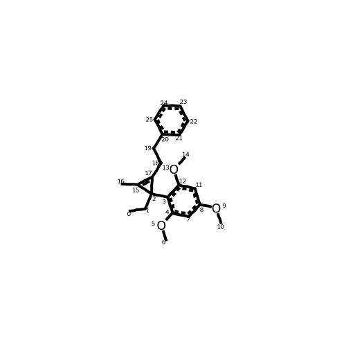 CCC1(c2c(OC)cc(OC)cc2OC)C(C)=C1CCc1ccccc1